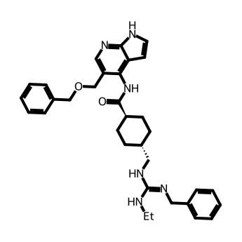 CCNC(=NCc1ccccc1)NC[C@H]1CC[C@H](C(=O)Nc2c(COCc3ccccc3)cnc3[nH]ccc23)CC1